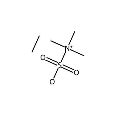 CC.C[N+](C)(C)S(=O)(=O)[O-]